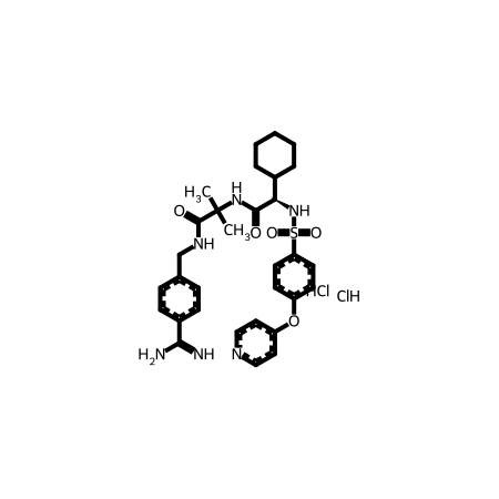 CC(C)(NC(=O)[C@H](NS(=O)(=O)c1ccc(Oc2ccncc2)cc1)C1CCCCC1)C(=O)NCc1ccc(C(=N)N)cc1.Cl.Cl